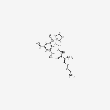 NCCCCC(N)C(=O)NCCCC1(C(=O)c2cc(C=O)cc(C=O)c2)CCCC1